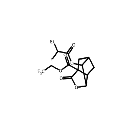 CCC(I)C(=O)OC1C2CC3C1OC(=O)C3(C(=O)OCC(F)(F)F)C2